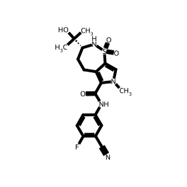 Cn1cc2c(c1C(=O)Nc1ccc(F)c(C#N)c1)CC[C@H](C(C)(C)O)NS2(=O)=O